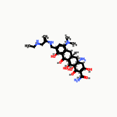 C=C(CNCC)NCc1cc(N(C)C)c2c(c1O)C(=O)C1=C(O)[C@]3(O)C(=O)C(C(N)=O)=C(O)C[C@]3(N)C[C@@H]1C2